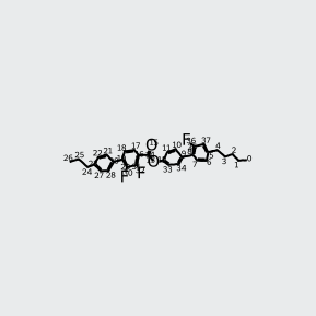 CCCCCc1ccc(-c2ccc(OC(=O)c3ccc(-c4ccc(CCC)cc4)c(F)c3F)cc2)c(F)c1